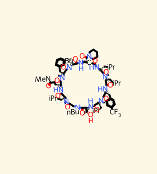 CCCCN1CC(=O)N(C)[C@@H](CC(C)C)C(=O)N[C@@H](CCC(=O)NC)C(=O)N(C)[C@@H](Cc2ccccc2)C(=O)N(C)[C@@H]([C@@H](C)CC)C(=O)N[C@H](C(=O)N2CCCCC2)CC(=O)N[C@H](CC(C)C)C(=O)N(C)[C@@H](CC(C)C)C(=O)N[C@@H](Cc2ccc(C(F)(F)F)cc2)C(=O)N(C)[C@@H](CC(C)C)C(=O)N[C@@H]([C@@H](C)O)C1=O